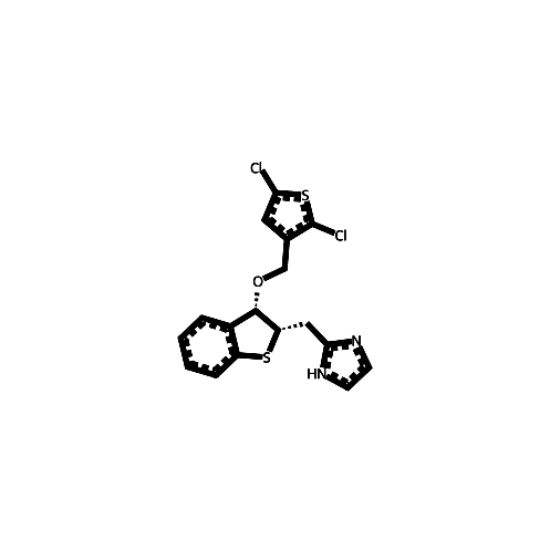 Clc1cc(CO[C@H]2c3ccccc3S[C@H]2Cc2ncc[nH]2)c(Cl)s1